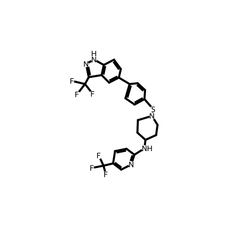 FC(F)(F)c1ccc(NC2CCN(Sc3ccc(-c4ccc5[nH]nc(C(F)(F)F)c5c4)cc3)CC2)nc1